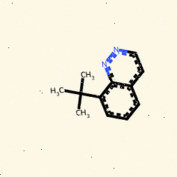 CC(C)(C)c1cccc2ccnnc12